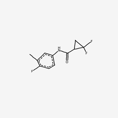 Cc1cc(NC(=O)C2CC2(F)F)ccc1F